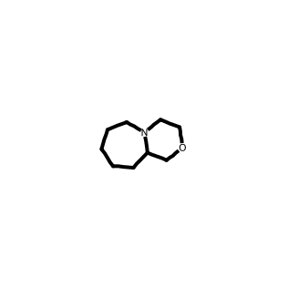 C1CCC2COCCN2CC1